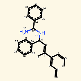 C=C/C=C(\C=C/C)C(/C)=C/C(NC(N)c1ccccc1)c1ccccc1